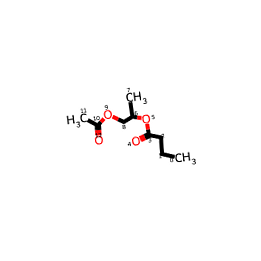 CCCC(=O)OC(C)COC(C)=O